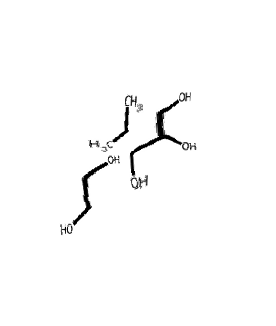 CCC.OCC(O)CO.OCCO